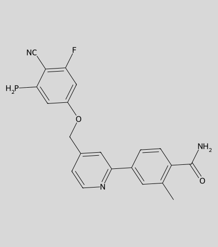 Cc1cc(-c2cc(COc3cc(F)c(C#N)c(P)c3)ccn2)ccc1C(N)=O